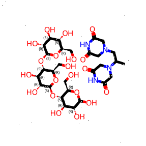 CC(CN1CC(=O)NC(=O)C1)N1CC(=O)NC(=O)C1.OC[C@H]1O[C@@H](O[C@H]2[C@H](O)[C@@H](O)[C@H](O[C@H]3[C@H](O)[C@@H](O)C(O)O[C@@H]3CO)O[C@@H]2CO)[C@H](O)[C@@H](O)[C@@H]1O